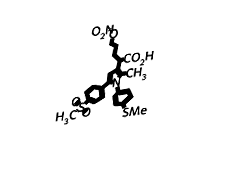 CSc1ccc(-n2c(-c3ccc(S(C)(=O)=O)cc3)cc(C(CCCO[N+](=O)[O-])C(=O)O)c2C)cc1